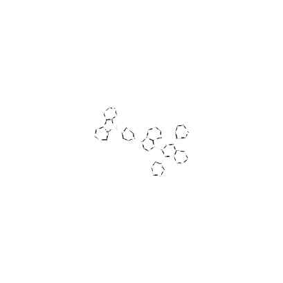 c1ccc(-c2c3c(c(-c4ccccc4)c4ccccc24)-c2ccc(-c4ccc(-n5c6ccccc6c6ccncc65)cc4)c4cccc-3c24)cc1